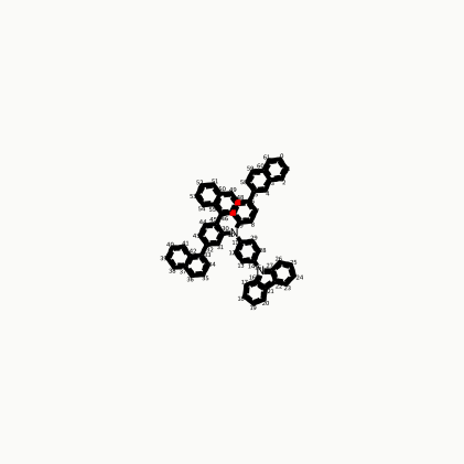 c1ccc2cc(-c3ccc(N(c4ccc(-n5c6ccccc6c6ccccc65)cc4)c4cc(-c5cccc6ccccc56)ccc4-c4cccc5ccccc45)cc3)ccc2c1